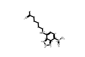 CC(=O)CCCCCNc1ccc([N+](=O)[O-])c2nonc12